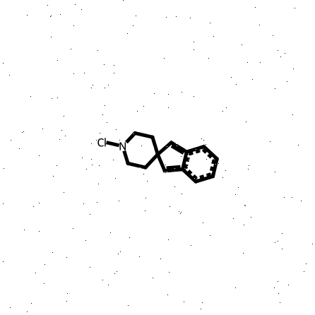 ClN1CCC2(C=c3ccccc3=C2)CC1